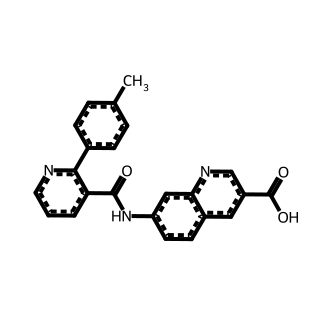 Cc1ccc(-c2ncccc2C(=O)Nc2ccc3cc(C(=O)O)cnc3c2)cc1